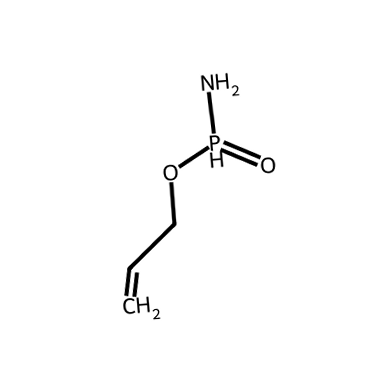 C=CCO[PH](N)=O